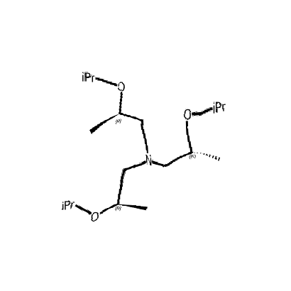 CC(C)O[C@H](C)CN(C[C@@H](C)OC(C)C)C[C@@H](C)OC(C)C